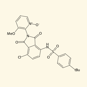 COc1ccc[n+]([O-])c1N1C(=O)c2c(Cl)ccc(NS(=O)(=O)c3ccc(C(C)(C)C)cc3)c2C1=O